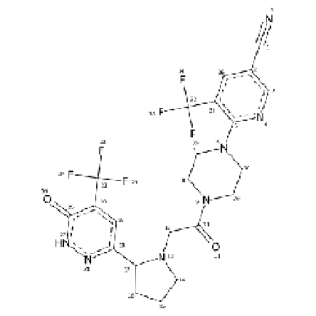 N#Cc1cnc(N2CCN(C(=O)CN3CCCC3c3cc(C(F)(F)F)c(=O)[nH]n3)CC2)c(C(F)(F)F)c1